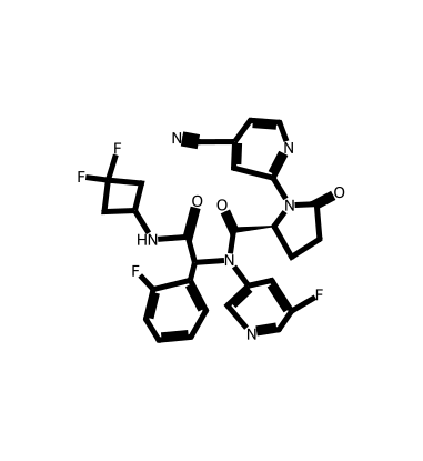 N#Cc1ccnc(N2C(=O)CC[C@H]2C(=O)N(c2cncc(F)c2)C(C(=O)NC2CC(F)(F)C2)c2ccccc2F)c1